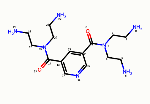 NCCN(CCN)C(=O)c1cncc(C(=O)N(CCN)CCN)c1